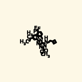 CCC(C)c1ccnc(-c2nc3nc(C(=O)OC)nc(NCCC4CCC4)c3n2Cc2ccc(C(F)(F)F)cc2)c1